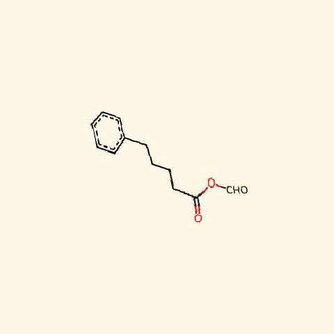 O=COC(=O)CCCCc1ccccc1